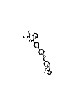 CC1(CN2CCC(COc3ccc(-c4ccc(C(=O)N5CCC[C@H]5C(N)=O)cc4)cc3)CC2)CCC1